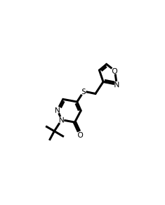 CC(C)(C)n1ncc(SCc2ccon2)cc1=O